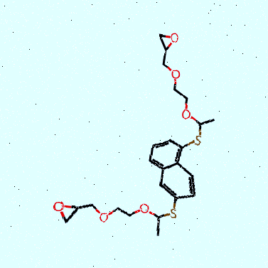 CC(OCCOCC1CO1)Sc1ccc2c(SC(C)OCCOCC3CO3)cccc2c1